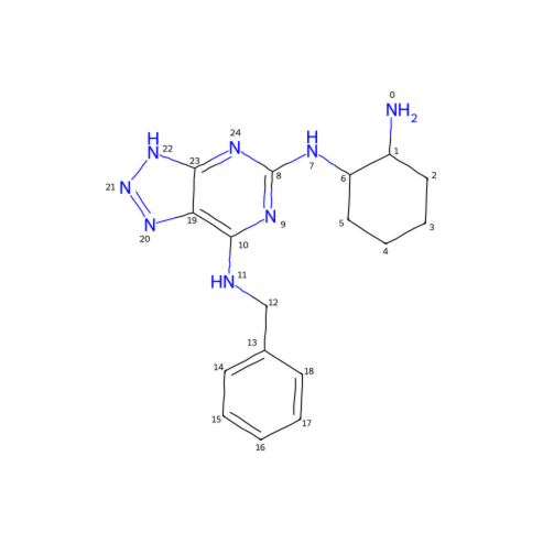 NC1CCCCC1Nc1nc(NCc2ccccc2)c2nn[nH]c2n1